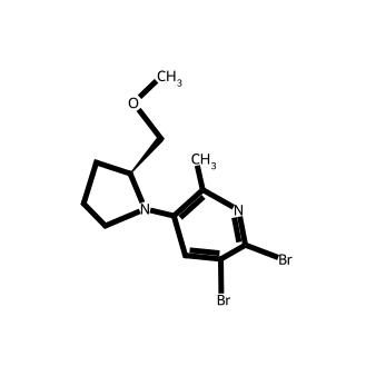 COC[C@@H]1CCCN1c1cc(Br)c(Br)nc1C